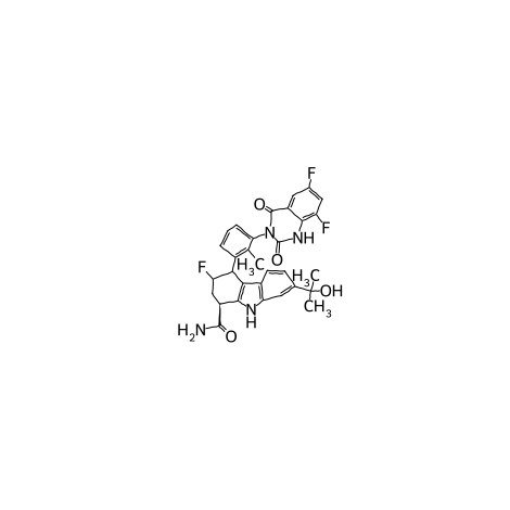 Cc1c(C2c3c([nH]c4cc(C(C)(C)O)ccc34)[C@@H](C(N)=O)CC2F)cccc1-n1c(=O)[nH]c2c(F)cc(F)cc2c1=O